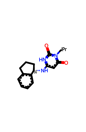 CC(C)n1c(=O)cc(N[C@H]2CCCc3ccccc32)[nH]c1=O